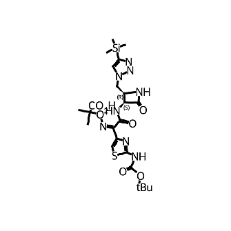 CC(C)(C)OC(=O)Nc1nc(C(=NOC(C)(C)C(=O)O)C(=O)N[C@@H]2C(=O)N[C@@H]2Cn2cc([Si](C)(C)C)nn2)cs1